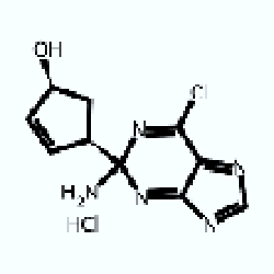 Cl.NC1([C@H]2C=C[C@@H](O)C2)N=C(Cl)C2=NC=NC2=N1